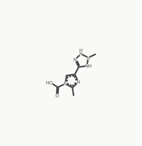 Cc1nc(C2=NNN(C)N2)cn1C(=O)O